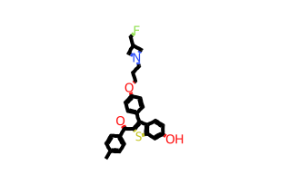 Cc1ccc(C(=O)c2sc3cc(O)ccc3c2-c2ccc(OCCCN3CC(CF)C3)cc2)cc1